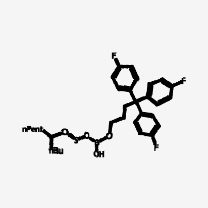 CCCCCC(CCCC)OSOB(O)OCCCC(c1ccc(F)cc1)(c1ccc(F)cc1)c1ccc(F)cc1